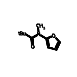 CN(C(=O)C(C)(C)C)c1ccco1